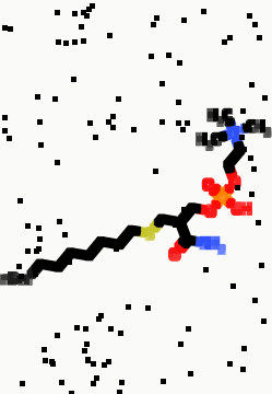 CCCCCCCCCCCCCCCCCSCC(COP(=O)(O)OCC[N+](C)(C)C)C(N)=O